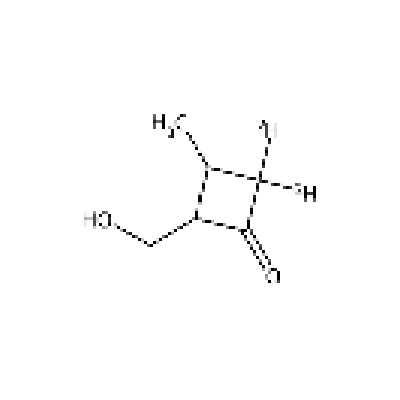 [2H]C1([2H])C(=O)C(CO)C1C